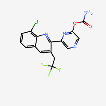 NC(=O)Oc1cncc(-c2nc3c(Cl)cccc3cc2[CH]C(F)(F)F)n1